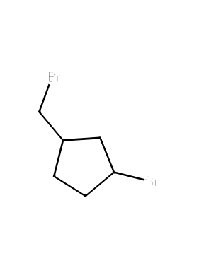 BrCC1CCC(Br)C1